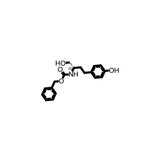 O=C(N[C@H](CO)CCc1ccc(O)cc1)OCc1ccccc1